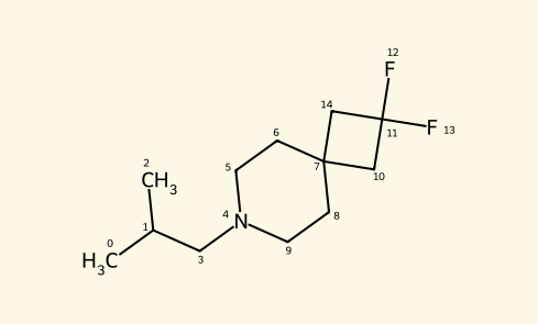 CC(C)CN1CCC2(CC1)CC(F)(F)C2